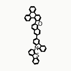 c1ccc2c(c1)sc1c(-n3c4ccccc4c4cc(-c5ccc6c(ccc7c6oc6ccc8c9ccccc9c9ccccc9c8c67)c5)ccc43)cccc12